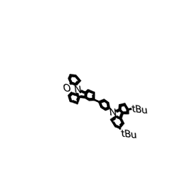 CC(C)(C)c1ccc2c(c1)c1cc(C(C)(C)C)ccc1n2-c1ccc(-c2ccc3c(c2)c2cccc4c2n3-c2ccccc2O4)cc1